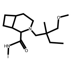 CCC(C)(COC)CN1CCC2CCC2C1C(=O)NI